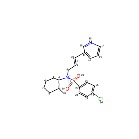 CC1CCCCC1N(C/C=C/c1cccnc1)S(=O)(=O)c1ccc(Cl)cc1